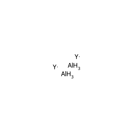 [AlH3].[AlH3].[Y].[Y]